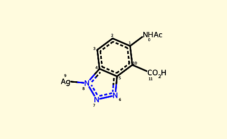 CC(=O)Nc1ccc2c(nn[n]2[Ag])c1C(=O)O